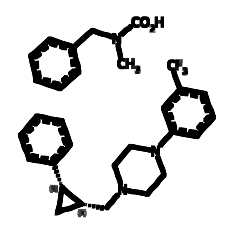 CN(Cc1ccccc1)C(=O)O.FC(F)(F)c1cccc(N2CCN(C[C@@H]3C[C@@H]3c3ccccc3)CC2)c1